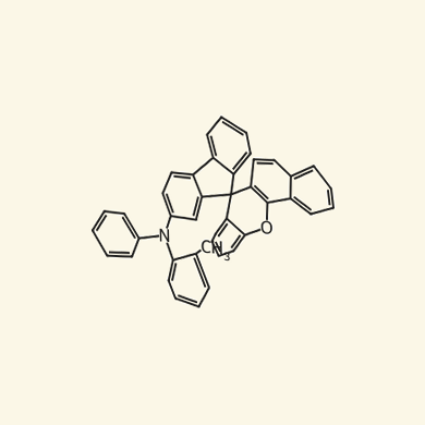 Cc1ccccc1N(c1ccccc1)c1ccc2c(c1)C1(c3ccccc3Oc3c1ccc1ccccc31)c1ccccc1-2